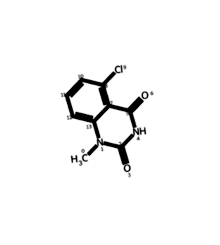 Cn1c(=O)[nH]c(=O)c2c(Cl)cccc21